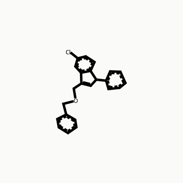 Clc1ccc2c(c1)C(COCc1ccccc1)=CC2c1ccccc1